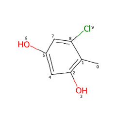 Cc1c(O)cc(O)cc1Cl